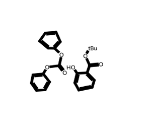 CC(C)(C)OC(=O)c1ccccc1O.O=C(Oc1ccccc1)Oc1ccccc1